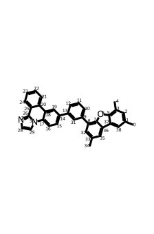 Cc1cc(C)c2oc3c(-c4cccc(-c5ccc6c(c5)c5ccccc5c5nccn65)c4)cc(C)cc3c2c1